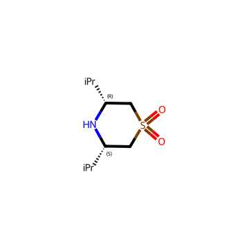 CC(C)[C@@H]1CS(=O)(=O)C[C@H](C(C)C)N1